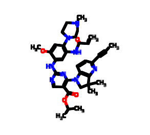 C=CC(=O)Nc1cc(Nc2ncc(C(=O)OC(C)C)c(N3CC(C)(C)c4nc(C#CC)ccc43)n2)c(OC)cc1N1CCN(C)CC1